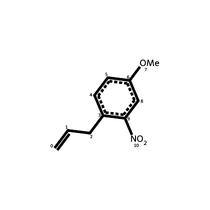 C=CCc1ccc(OC)cc1[N+](=O)[O-]